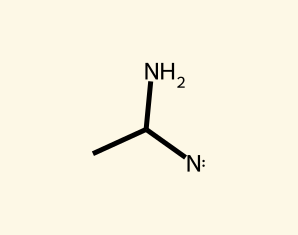 CC([N])N